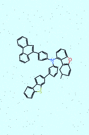 CC1C=Cc2oc3cccc(N(c4ccc(-c5cc6ccccc6c6ccccc56)cc4)c4cccc(-c5ccc6c(c5)sc5ccccc56)c4)c3c2C1